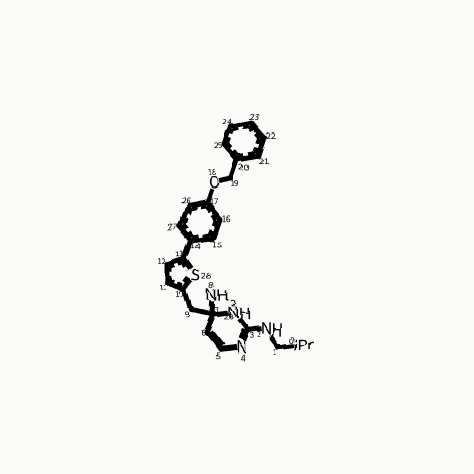 CC(C)CNC1=NC=CC(N)(Cc2ccc(-c3ccc(OCc4ccccc4)cc3)s2)N1